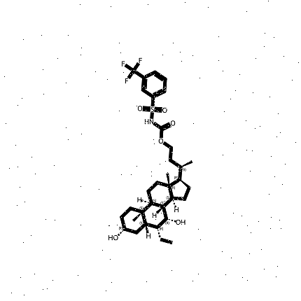 CC[C@H]1[C@@H](O)[C@@H]2[C@H](CC[C@]3(C)[C@@H]([C@H](C)CCOC(=O)NS(=O)(=O)c4cccc(C(F)(F)F)c4)CC[C@@H]23)[C@@]2(C)CC[C@@H](O)C[C@@H]12